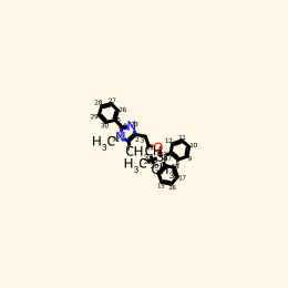 Cc1c(CCO[Si](c2ccccc2)(c2ccccc2)C(C)(C)C)nc(-c2ccccc2)n1C